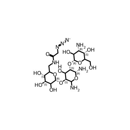 [N-]=[N+]=NCC(=O)NCC1O[C@H](O[C@@H]2C(N)O[C@@H](N)[C@@H](O[C@H]3OC(CO)[C@@H](O)[C@@H](N)C3O)C2O)C(O)[C@@H](O)[C@@H]1O